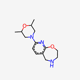 CC1CN(c2ccc3c(n2)OCCNC3)CC(C)O1